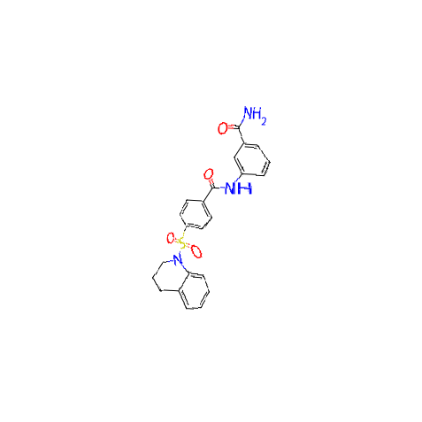 NC(=O)c1cccc(NC(=O)c2ccc(S(=O)(=O)N3CCCc4ccccc43)cc2)c1